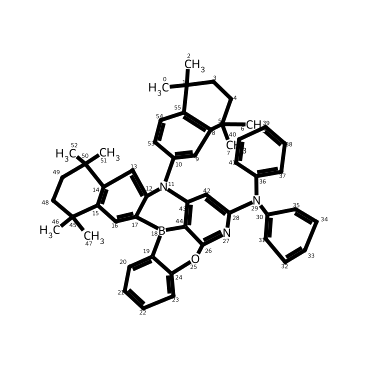 CC1(C)CCC(C)(C)c2cc(N3c4cc5c(cc4B4c6ccccc6Oc6nc(N(c7ccccc7)c7ccccc7)cc3c64)C(C)(C)CCC5(C)C)ccc21